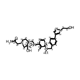 CCN(Cc1ccc(-c2cnn(CCO)c2)cc1)c1ncnc(NC[C@@H]2CCN(CC(N)=O)C[C@]2(C)O)c1F